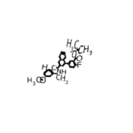 COc1cccc([C@@H](C)NC(C)c2cc(-c3ccc(F)c(C(=O)OC(C)C)c3)c3ccccc3c2)c1